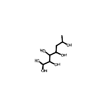 CC(O)CC(O)C(O)C(O)C(O)O